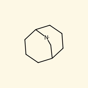 C1CC2CCCC(C1)[N]C2